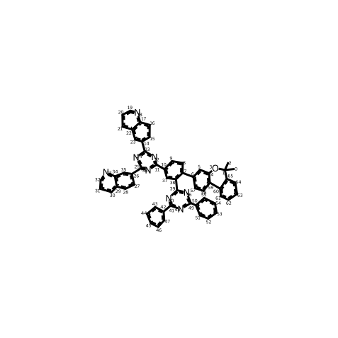 CC1(C)Oc2cc(-c3ccc(-c4nc(-c5ccc6ncccc6c5)nc(-c5ccc6cccnc6c5)n4)cc3-c3nc(-c4ccccc4)nc(-c4ccccc4)n3)ccc2-c2ccccc21